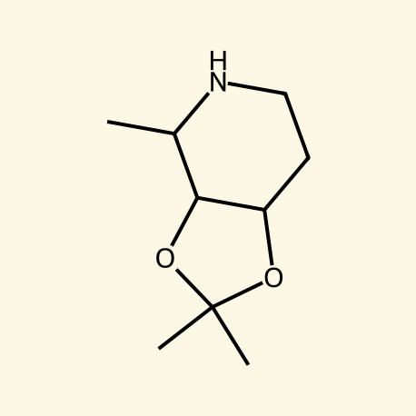 CC1NCCC2OC(C)(C)OC12